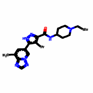 Cc1cc(-c2[nH]nc(C(=O)NC3CCN(CC(C)(C)C)CC3)c2C(C)C)cn2ncnc12